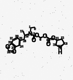 CCN(C(=O)OCOC(=O)OC1CCNC1)C(C)Cc1ccc2c(c1)OCO2